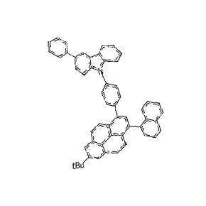 CC(C)(C)c1cc2ccc3c(-c4ccc(-n5c6ccccc6c6cc(-c7ccccc7)ccc65)cc4)cc(-c4cccc5ccccc45)c4ccc(c1)c2c34